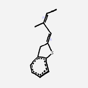 C/C=C(C)\C=C1/Cc2ccccc2S1